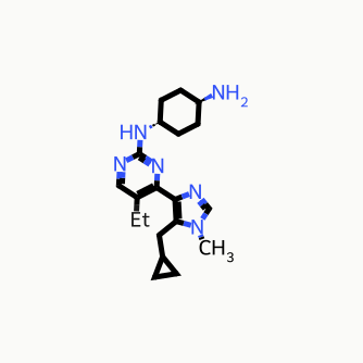 CCc1cnc(N[C@H]2CC[C@H](N)CC2)nc1-c1ncn(C)c1CC1CC1